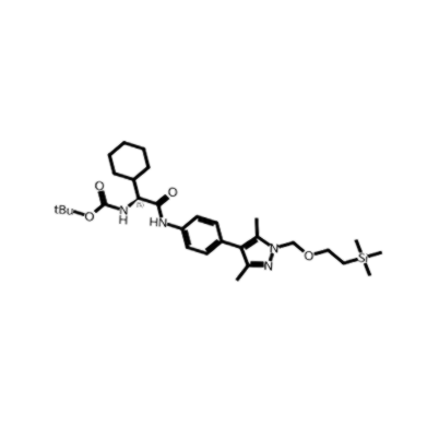 Cc1nn(COCC[Si](C)(C)C)c(C)c1-c1ccc(NC(=O)[C@@H](NC(=O)OC(C)(C)C)C2CCCCC2)cc1